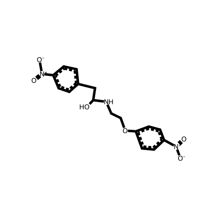 O=[N+]([O-])c1ccc(CC(O)NCCOc2ccc([N+](=O)[O-])cc2)cc1